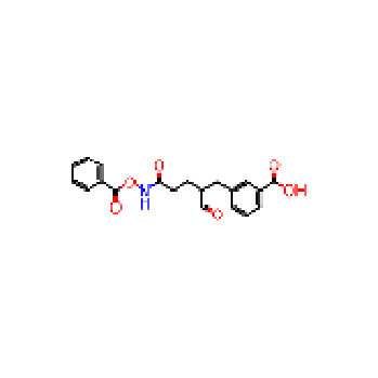 O=CC(CCC(=O)NOC(=O)c1ccccc1)Cc1cccc(C(=O)O)c1